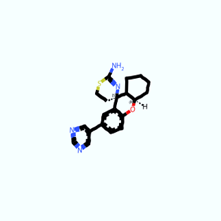 NC1=N[C@]2(CCS1)c1cc(-c3cncnc3)ccc1O[C@@H]1CCCCC12